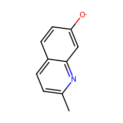 Cc1ccc2ccc([O])cc2n1